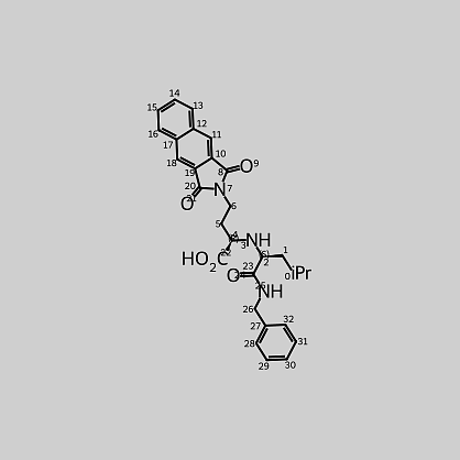 CC(C)C[C@H](N[C@H](CCN1C(=O)c2cc3ccccc3cc2C1=O)C(=O)O)C(=O)NCc1ccccc1